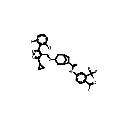 O=C(O)c1ccc(NC(=O)C2CC3CC(OCc4c(-c5c(Cl)cccc5Cl)noc4C4CC4)CC2C3)cc1C(F)(F)F